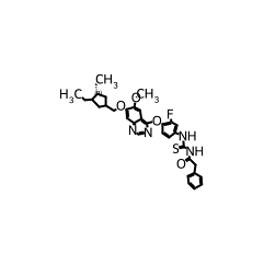 CCC1CC(COc2cc3ncnc(Oc4ccc(NC(=S)NC(=O)Cc5ccccc5)cc4F)c3cc2OC)C[C@H]1CC